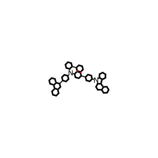 c1ccc(-c2ccccc2N(c2ccc(-c3ccc(-n4c5ccccc5c5c6ccccc6ccc54)cc3)cc2)c2ccc(-c3cc4ccccc4c4ccccc34)cc2)cc1